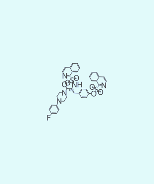 O=C([C@H](Cc1ccc(OS(=O)(=O)c2nccc3ccccc23)cc1)NS(=O)(=O)c1nccc2ccccc12)N1CCN(c2ccc(F)cc2)CC1